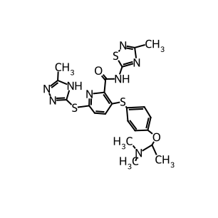 Cc1nsc(NC(=O)c2nc(Sc3nnc(C)[nH]3)ccc2Sc2ccc(OC(C)N(C)C)cc2)n1